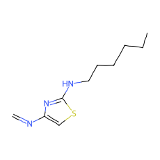 C=Nc1csc(NCCCCCC)n1